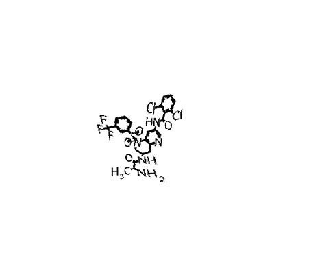 C[C@H](N)C(=O)N[C@@H]1Cc2ncc(NC(=O)c3c(Cl)cccc3Cl)cc2N(S(=O)(=O)c2cccc(C(F)(F)F)c2)C1